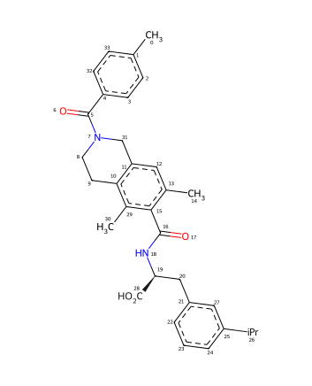 Cc1ccc(C(=O)N2CCc3c(cc(C)c(C(=O)N[C@@H](Cc4cccc(C(C)C)c4)C(=O)O)c3C)C2)cc1